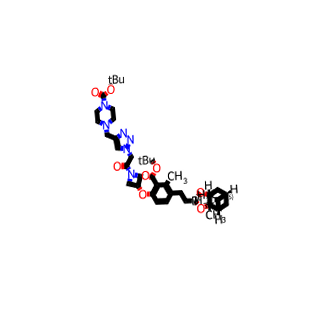 Cc1c(CCB2O[C@@H]3C[C@@H]4C[C@@H](C4(C)C)[C@]3(C)O2)ccc(OC2CN(C(=O)Cn3cc(CN4CCN(C(=O)OC(C)(C)C)CC4)nn3)C2)c1C(=O)OC(C)(C)C